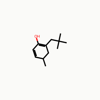 CC1C=CC(O)=C(CC(C)(C)C)C1